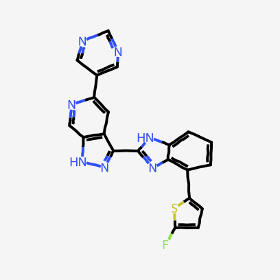 Fc1ccc(-c2cccc3[nH]c(-c4n[nH]c5cnc(-c6cncnc6)cc45)nc23)s1